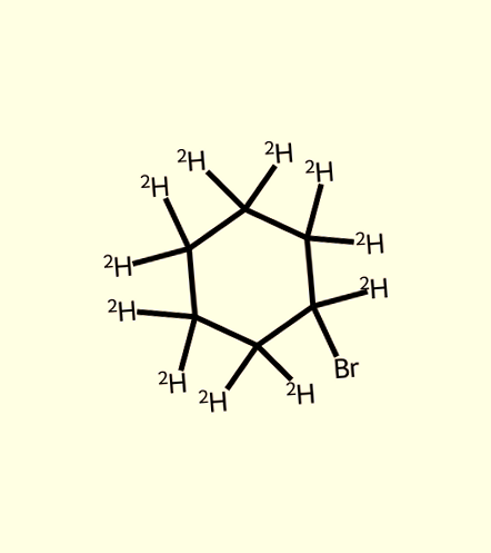 [2H]C1([2H])C([2H])([2H])C([2H])([2H])C([2H])(Br)C([2H])([2H])C1([2H])[2H]